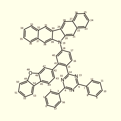 c1ccc(-c2nc(-c3ccccc3)nc(-c3ccc(-n4c5cc6ccccc6cc5c5cc6ccccc6cc54)cc3-c3ccc4c(c3)oc3ccccc34)n2)cc1